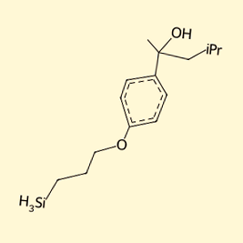 CC(C)CC(C)(O)c1ccc(OCCC[SiH3])cc1